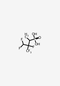 CC(C(F)(C(F)F)C(F)(F)F)P(=O)(O)O